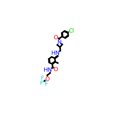 CC1=C(C(=O)NCCOC(F)(F)F)C=CC/C1=C\NCC1CN(C(=O)c2ccc(Cl)cc2)C1